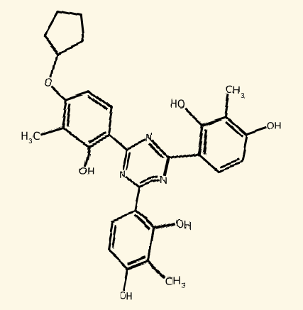 Cc1c(O)ccc(-c2nc(-c3ccc(O)c(C)c3O)nc(-c3ccc(OC4CCCC4)c(C)c3O)n2)c1O